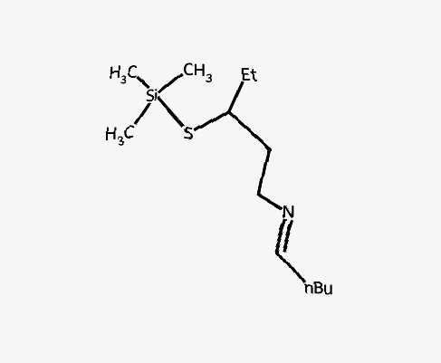 CCCC/C=N/CCC(CC)S[Si](C)(C)C